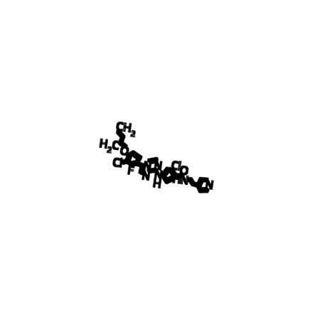 C=CCC(=C)COc1ccc(-c2cnc3c(Nc4ccc(C(=O)NCCc5ccncc5)c(Cl)c4)nccn23)c(F)c1Cl